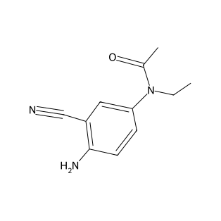 CCN(C(C)=O)c1ccc(N)c(C#N)c1